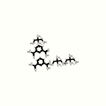 CC(C)(CO)CO.CC(C)(CO)CO.CC(C)(CO)CO.O=C(O)c1cccc(C(=O)O)c1.O=C(O)c1cccc(C(=O)O)c1